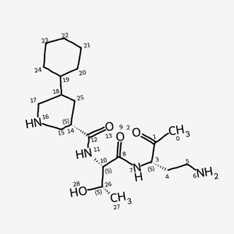 CC(=O)[C@H](CCN)NC(=O)[C@@H](NC(=O)[C@@H]1CNCC(C2CCCCC2)C1)[C@H](C)O